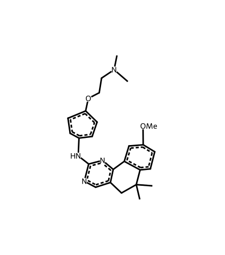 COc1ccc2c(c1)-c1nc(Nc3ccc(OCCN(C)C)cc3)ncc1CC2(C)C